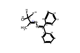 C/C(=N\N=C(c1ccccc1)c1ccccc1)C(F)(F)Cl